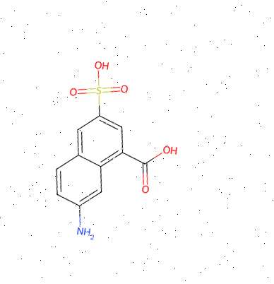 Nc1ccc2cc(S(=O)(=O)O)cc(C(=O)O)c2c1